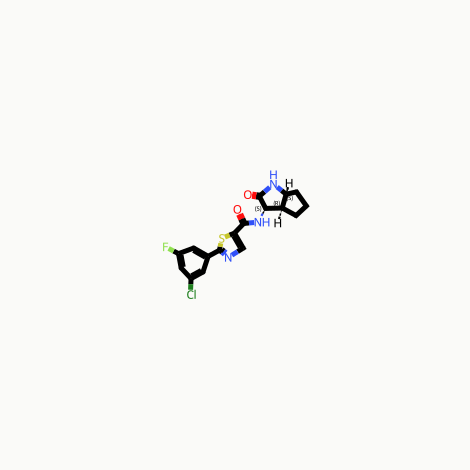 O=C(N[C@@H]1C(=O)N[C@H]2CCC[C@H]21)c1cnc(-c2cc(F)cc(Cl)c2)s1